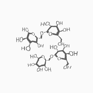 OC[C@H]1O[C@H](OC[C@H]2O[C@@H](O)[C@H](O)[C@@H](O)[C@@H]2O)[C@H](O)[C@@H](O)[C@H]1O.OC[C@H]1O[C@H](OC[C@H]2O[C@@H](O)[C@H](O)[C@@H](O)[C@@H]2O)[C@H](O)[C@@H](O)[C@H]1O